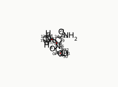 C[C@H](O)C(=O)N(CCCN1[C@@H]2CC[C@H]1C[C@@H](c1cccc(C(N)=O)c1)C2)Cc1ccccc1